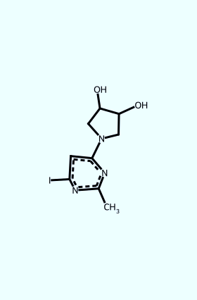 Cc1nc(I)cc(N2CC(O)C(O)C2)n1